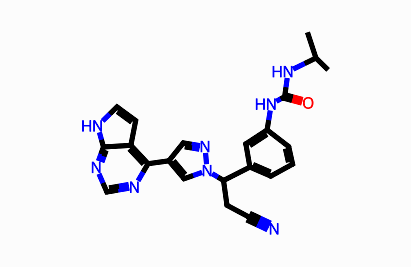 CC(C)NC(=O)Nc1cccc(C(CC#N)n2cc(-c3ncnc4[nH]ccc34)cn2)c1